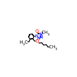 CCCCCCOCc1c(CC)cccc1-n1nnn(C)c1=O